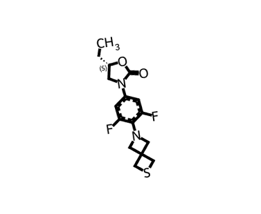 CC[C@H]1CN(c2cc(F)c(N3CC4(CSC4)C3)c(F)c2)C(=O)O1